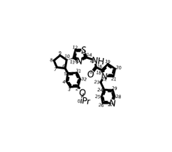 CC(C)Oc1ccc(C2CCC[C@@H]2c2csc(NC(=O)c3cccn3Cc3ccncc3)n2)cc1